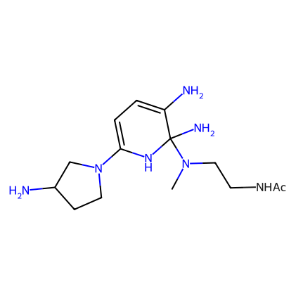 CC(=O)NCCN(C)C1(N)NC(N2CCC(N)C2)=CC=C1N